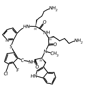 CN1C(=O)[C@H](CCCCN)NC(=O)[C@H](CCCN)NCc2cccnc2Sc2ccc(Cl)c(F)c2CNC(=O)[C@@H]1Cc1c[nH]c2ccccc12